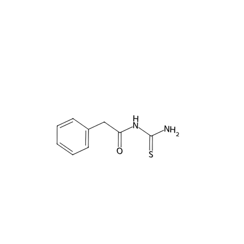 NC(=S)NC(=O)Cc1ccccc1